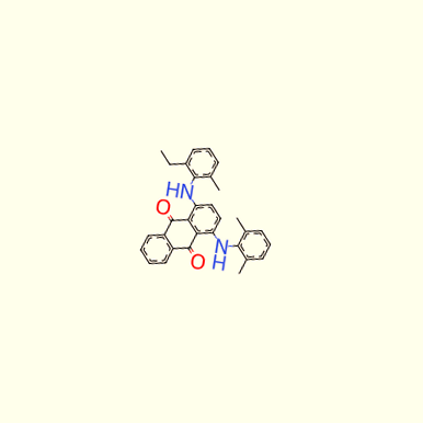 CCc1cccc(C)c1Nc1ccc(Nc2c(C)cccc2C)c2c1C(=O)c1ccccc1C2=O